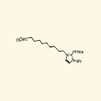 CCCCCCCCCCCCCCCCCCC[n+]1ccn(C(C)C)c1CCCCCC